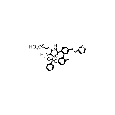 Cc1ccccc1-c1cc(CSc2cccnc2)ccc1C(=O)N[C@@H](CCSC(=O)O)C(N)=NS(=O)(=O)c1ccccc1